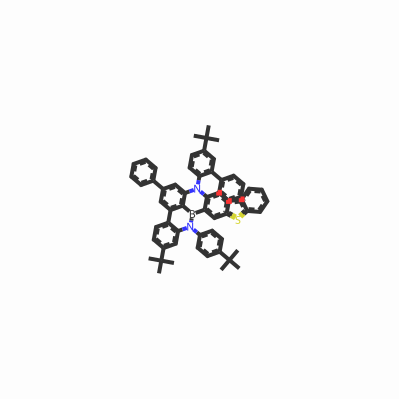 CC(C)(C)c1ccc(N2B3c4cc5sc6ccccc6c5cc4N(c4ccc(C(C)(C)C)cc4-c4ccccc4)c4cc(-c5ccccc5)cc(c43)-c3ccc(C(C)(C)C)cc32)cc1